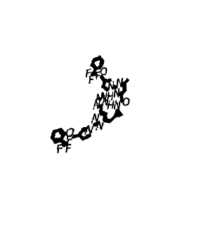 Cc1cc(C(=O)NC2CC2Cc2cc(-c3nn[nH]n3)nc(N3CCC(COc4ccccc4C(F)(F)F)C3)n2)nc(N2CCC(COc3ccccc3C(F)(F)F)C2)n1